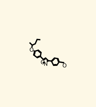 CCCC(C)Oc1ccc(-c2cc(-c3ccc(C=O)cc3)no2)cc1